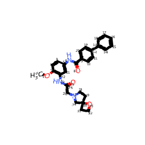 COc1ccc(NC(=O)c2ccc(-c3ccccc3)cc2)cc1NC(=O)CN1CCC2(CCO2)C1